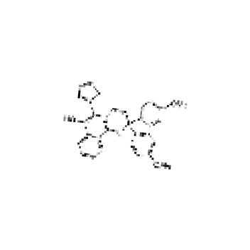 COc1ccc(C2(c3ccc(OC)cc3)C=Cc3c(-c4cccs4)c(O)c4ccccc4c3O2)cc1